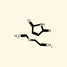 C=CCOC=C.O=C1C=CC(=O)N1